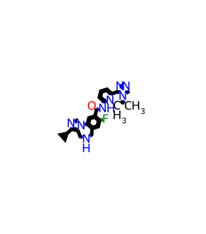 CC(C)n1cnnc1-c1cccc(NC(=O)c2cc3c(cc2F)CNCc2c(C4CC4)ncn2-3)n1